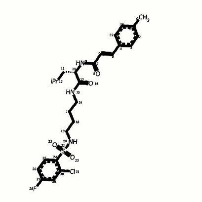 Cc1ccc(/C=C/C(=O)N[C@@H](CC(C)C)C(=O)NCCCCNS(=O)(=O)c2ccc(F)cc2Cl)cc1